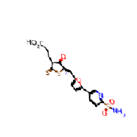 NS(=O)(=O)c1ccc(-c2ccc(/C=C3\SC(=S)C(CCC(=O)O)C3=O)o2)cn1